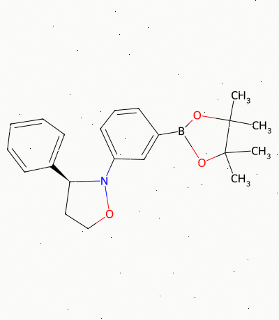 CC1(C)OB(c2cccc(N3OCC[C@H]3c3ccccc3)c2)OC1(C)C